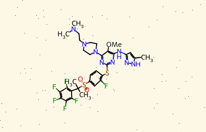 COc1c(Nc2cc(C)[nH]n2)nc(Sc2ccc(S(=O)(=O)C(C)(C)c3c(F)c(F)c(F)c(F)c3F)cc2F)nc1N1CCN(CCN(C)C)CC1